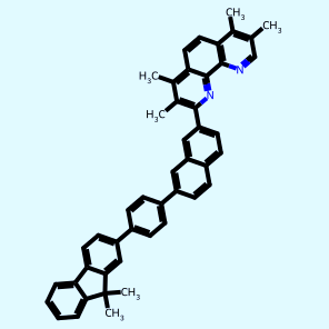 Cc1cnc2c(ccc3c(C)c(C)c(-c4ccc5ccc(-c6ccc(-c7ccc8c(c7)C(C)(C)c7ccccc7-8)cc6)cc5c4)nc32)c1C